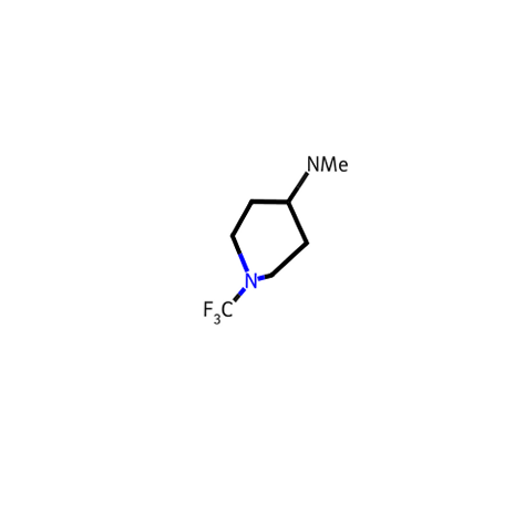 CNC1CCN(C(F)(F)F)CC1